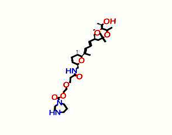 CO[C@H](C(C)OC(C)(C)C[C@H](C)/C=C/C=C(\C)[C@H]1O[C@@H](CNC(=O)CCOCCOC(=O)N2CCCNCC2)CC[C@@H]1C)[C@@H](C)O